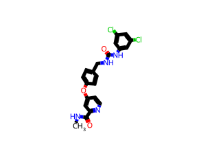 CNC(=O)c1cc(Oc2ccc(CNC(=O)Nc3cc(Cl)cc(Cl)c3)cc2)ccn1